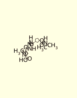 CC(C)NC(=O)O[C@@H]1CC[C@H](c2cc(NC(=O)c3cc(C(=O)O)nn3C)n[nH]2)C1